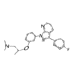 CC(CN(C)C)Oc1cccc(-n2nc(-c3ccc(F)cc3)c3cccnc32)c1